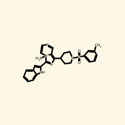 Cc1cccc(S(=O)(=O)N2CCC(C3=C4C=NC=C[N+]4(N)C(c4cc5ccccc5[nH]4)=N3)CC2)c1